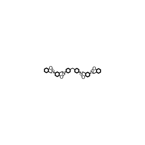 c1ccc2c(c1)CN(c1ccc3c(c1)CN(c1ccc(Cc4ccc(N5COc6ccc(N7COc8ccccc8C7)cc6C5)cc4)cc1)CO3)CO2